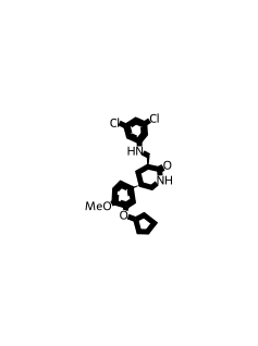 COc1ccc([C@H]2CNC(=O)[C@H](CNc3cc(Cl)cc(Cl)c3)C2)cc1OC1CCCC1